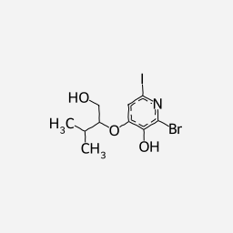 CC(C)C(CO)Oc1cc(I)nc(Br)c1O